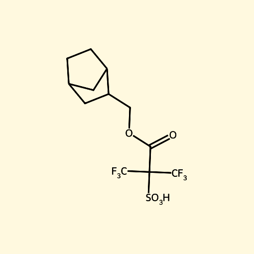 O=C(OCC1CC2CCC1C2)C(C(F)(F)F)(C(F)(F)F)S(=O)(=O)O